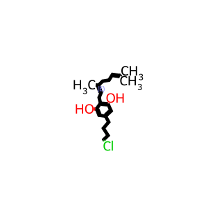 CC(C)=CCC/C(C)=C/Cc1c(O)cc(CCCCCl)cc1O